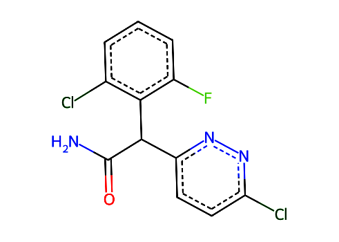 NC(=O)C(c1ccc(Cl)nn1)c1c(F)cccc1Cl